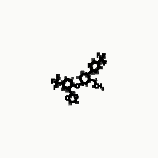 CC[C@H]1C[C@@H](Oc2ccc(C(F)(F)F)cc2C2OCCO2)CCN1c1ccc(C(F)(F)F)cn1